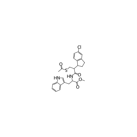 COC(=O)C(Cc1c[nH]c2ccccc12)NC(=O)C(CSC(C)=O)C1CCc2cc(Cl)ccc21